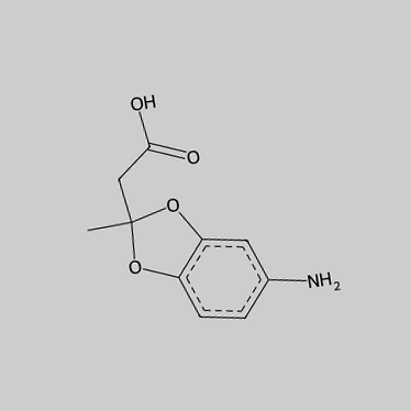 CC1(CC(=O)O)Oc2ccc(N)cc2O1